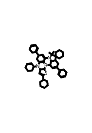 CC1(C)N2C3=CC(C4=CC=CCC4)CC4=C3B(C3C=C(C5=CC=CCC5)CC(C32)C12CCCCC2)C1SC(C2CCCCC2)=CC1N4C1C=CCCC1